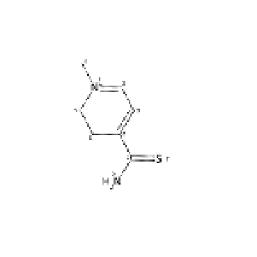 C[N+]1=CC=C(C(N)=S)CC1